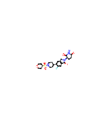 O=C1CCC(N2Cc3cc(C4CCN(S(=O)(=O)C5CCOCC5)CC4)c(F)cc3C2=O)C(=O)N1